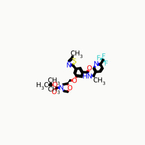 Cc1cnc(-c2cc(OC[C@@H]3CN(C(=O)OC(C)(C)C)CCO3)cc(C(=O)N[C@H](C)c3ccc(C(F)(F)F)nc3)c2)s1